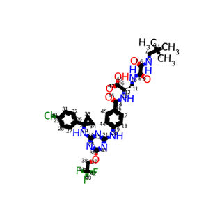 CC(C)(C)CNC(=O)C(=O)NC[C@H](NC(=O)c1ccc(Nc2nc(NC3(c4ccc(Cl)cc4)CC3)nc(OCC(F)(F)F)n2)cc1)C(=O)O